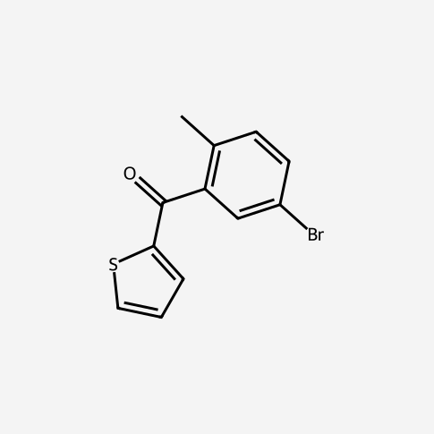 Cc1ccc(Br)cc1C(=O)c1cccs1